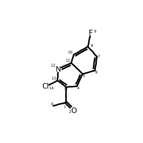 CC(=O)c1cc2ccc(F)cc2nc1Cl